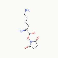 NCCCC[C@H](N)C(=O)ON1C(=O)CCC1=O